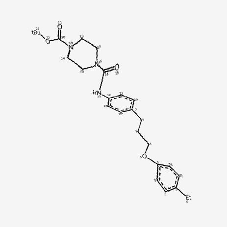 CCc1ccc(OCCCc2ccc(NC(=O)N3CCN(C(=O)OC(C)(C)C)CC3)cc2)cc1